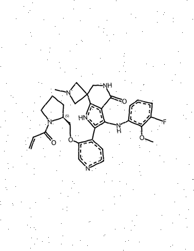 C=CC(=O)N1CCC[C@H]1COc1cnccc1-c1[nH]c2c(c1Nc1cccc(F)c1OC)C(=O)NCC21CN(C)C1